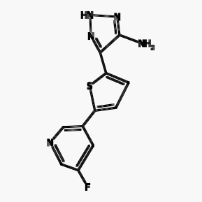 Nc1n[nH]nc1-c1ccc(-c2cncc(F)c2)s1